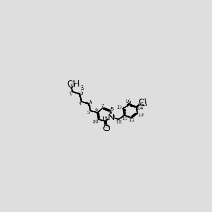 CCCCCCc1ccn(Cc2ccc(Cl)cc2)c(=O)c1